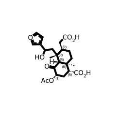 CC(=O)O[C@H]1C[C@@H](C(=O)O)[C@]2(C)CC[C@H](CC(=O)O)[C@@](C)(CC(O)c3ccoc3)[C@H]2C1=O